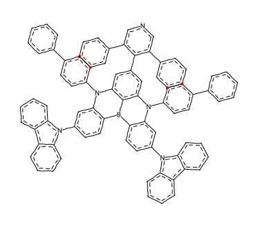 c1ccc(-c2ccc(N3c4cc(-n5c6ccccc6c6ccccc65)ccc4B4c5ccc(-n6c7ccccc7c7ccccc76)cc5N(c5ccc(-c6ccccc6)cc5)c5cc(-c6c(-c7ccccc7)cncc6-c6ccccc6)cc3c54)cc2)cc1